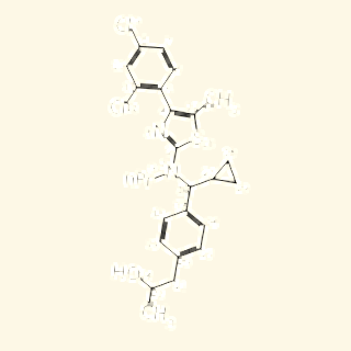 CCCN(c1nc(-c2ccc(Cl)cc2Cl)c(C)s1)C(c1ccc(CC(C)O)cc1)C1CC1